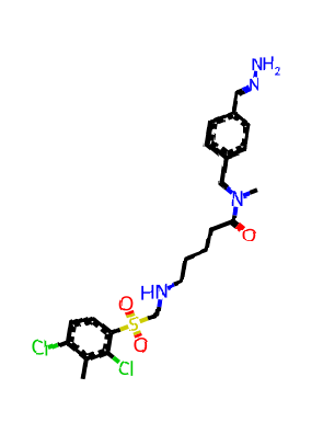 Cc1c(Cl)ccc(S(=O)(=O)CNCCCCC(=O)N(C)Cc2ccc(C=NN)cc2)c1Cl